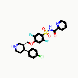 O=C(NS(=O)(=O)c1cc(F)c(OC[C@H]2CNCC[C@@H]2c2ccc(Cl)cc2)cc1F)c1ccccn1